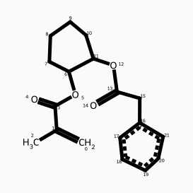 C=C(C)C(=O)OC1CCCCC1OC(=O)Cc1ccccc1